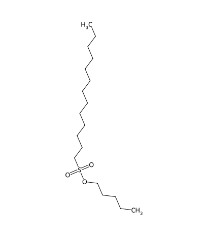 CCCCCCCCCCCCCS(=O)(=O)OCCCCC